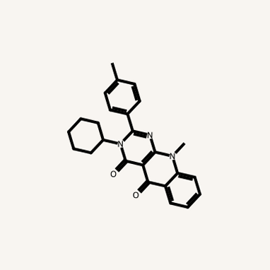 Cc1ccc(-c2nc3c(c(=O)c4ccccc4n3C)c(=O)n2C2CCCCC2)cc1